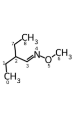 CCC(C=NOC)CC